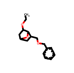 CCOC1CC2CC(COCc3ccccc3)C1O2